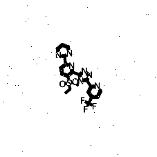 CCS(=O)(=O)c1ccc(-c2ncccn2)nc1-c1nnc(-c2cc(C(F)(F)F)ccn2)n1C